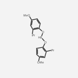 COc1ccc(OBOc2ccc(OC)cc2C(C)C)c(C(C)C)c1